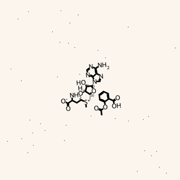 CC(=O)Oc1ccccc1C(=O)O.C[S+](CCC(N)C(=O)[O-])C[C@H]1O[C@@H](n2cnc3c(N)ncnc32)[C@H](O)[C@@H]1O